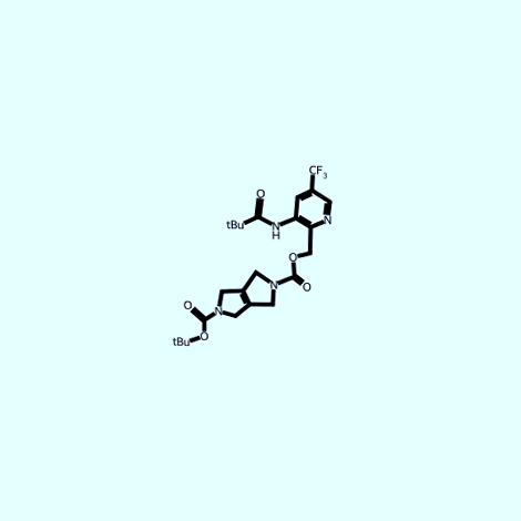 CC(C)(C)OC(=O)N1CC2=C(CN(C(=O)OCc3ncc(C(F)(F)F)cc3NC(=O)C(C)(C)C)C2)C1